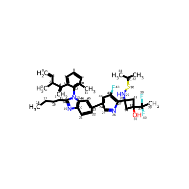 C=CC(C)C(=C)c1cccc(C)c1-n1c(CCCC)nc2ccc(-c3cnc(C4(NSC(C)C)CC(O)(C(C)(F)F)C4)c(F)c3)cc21